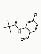 CC(C)(C)C(=O)Nc1cc(Cl)ccc1C=O